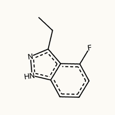 CCc1n[nH]c2cccc(F)c12